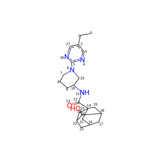 CCc1cnc(N2CCCC(NC(=O)C34CC5CC(C3)C(O)C(C5)C4)C2)nc1